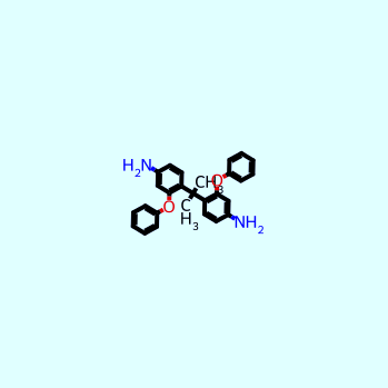 CC(C)(c1ccc(N)cc1Oc1ccccc1)c1ccc(N)cc1Oc1ccccc1